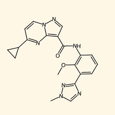 COc1c(NC(=O)c2cnn3ccc(C4CC4)nc23)cccc1-c1ncn(C)n1